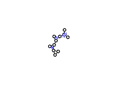 c1ccc(-c2cc(-c3ccc(-n4c5ccccc5c5cc(-c6ccc7c(c6)c6ccccc6n7-c6ccc7c8ccccc8c8ccccc8c7c6)ccc54)cc3)nc(-c3ccccc3)n2)cc1